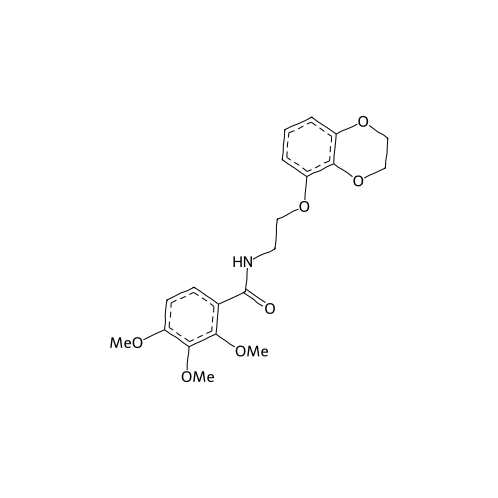 COc1ccc(C(=O)NCCOc2cccc3c2OCCO3)c(OC)c1OC